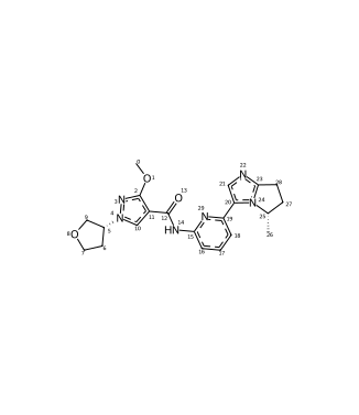 COc1nn([C@@H]2CCOC2)cc1C(=O)Nc1cccc(-c2cnc3n2[C@@H](C)CC3)n1